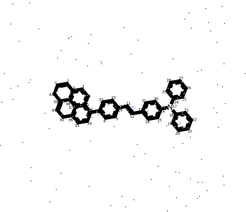 C1=Cc2ccc3c(-c4ccc(/C=C/c5ccc(N(c6ccccc6)c6ccccc6)cc5)cc4)ccc4c3c2C(=CC4)C1